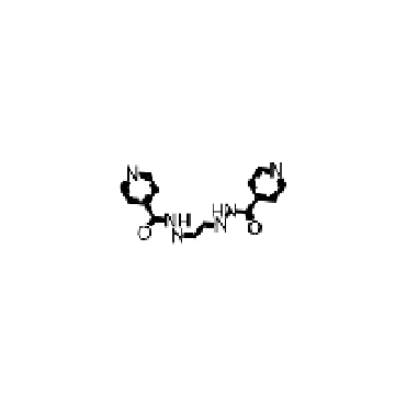 O=C(N/N=C\C=N\NC(=O)c1ccncc1)c1ccncc1